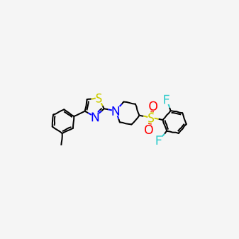 Cc1cccc(-c2csc(N3CCC(S(=O)(=O)c4c(F)cccc4F)CC3)n2)c1